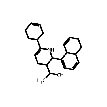 CC(C)C1CC=C(C2CC=CCC2)NC1C1=CC=CC2CCC=CC12